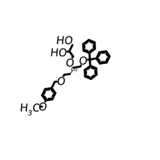 COc1ccc(COCC[C@@H](COC(c2ccccc2)(c2ccccc2)c2ccccc2)OCC(O)CO)cc1